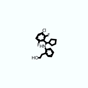 OCCc1ccccc1NC(c1c(F)ccc(Cl)c1F)C1CCCC1